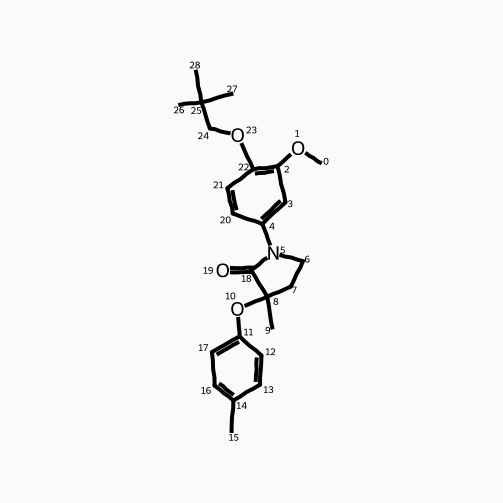 COc1cc(N2CCC(C)(Oc3ccc(C)cc3)C2=O)ccc1OCC(C)(C)C